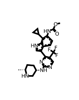 COC(=O)Nc1ccc2c(-c3nc(N[C@H]4CC[C@@H](C)NC4)ncc3C(F)(F)F)c[nH]c2c1C1CC1